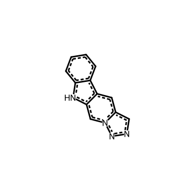 c1ccc2c(c1)[nH]c1cn3nncc3cc12